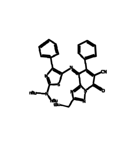 CCCCN(CCCC)c1nc(-c2ccccc2)c(/N=C2/C(c3ccccc3)=C(C#N)C(=O)n3nc(CC(C)(C)C)nc32)s1